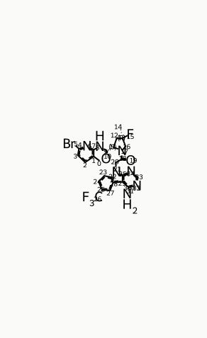 Cc1ccc(Br)nc1NC(=O)[C@@H]1C[C@@](C)(F)CN1C(=O)Cn1c2ccc(C(F)(F)F)cc2c2c(N)ncnc21